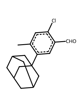 Cc1cc(Cl)c(C=O)cc1C12CC3CC(CC(C3)C1)C2